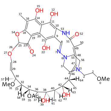 COCCN1CCN(/N=C/c2c3c(O)c4c(O)c(C)c5c(c4c2O)C(=O)[C@@](C)(O/C=C/[C@H](OC)[C@@H](C)[C@@H](OC(C)=O)[C@H](C)[C@H](O)[C@H](C)[C@@H](O)[C@@H](C)/C=C/C=C(/C)C(=O)N3)O5)CC1